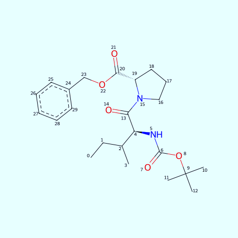 CCC(C)[C@H](NC(=O)OC(C)(C)C)C(=O)N1CCC[C@H]1C(=O)OCc1ccccc1